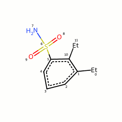 CCc1cccc(S(N)(=O)=O)c1CC